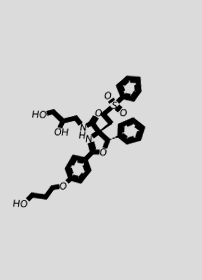 O=C(NCC(O)CO)[C@@]1(CCS(=O)(=O)c2ccccc2)N=C(c2ccc(OCCCO)cc2)O[C@H]1c1ccccc1